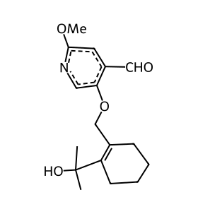 COc1cc(C=O)c(OCC2=C(C(C)(C)O)CCCC2)cn1